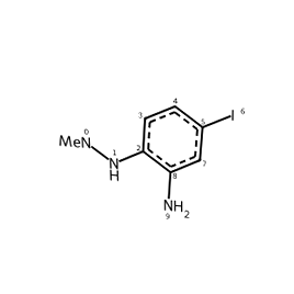 CNNc1ccc(I)cc1N